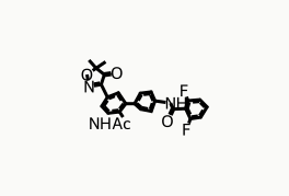 CC(=O)Nc1ccc(C2=NOC(C)(C)C2=O)cc1-c1ccc(NC(=O)c2c(F)cccc2F)cc1